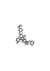 CC(C)Oc1cccc(CN2CCC3(CC2)C(=O)N(Cc2ncnn2Cc2ccccc2)C(=O)N3c2cccc(F)c2)c1